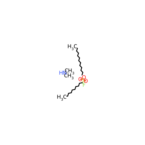 CCCCCCCCCCCCCOS(=O)(=O)C(F)CCCCCCCCC.CNC